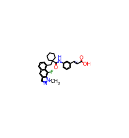 Cn1ncc2cc3cccc(CC4(C(=O)Nc5cccc(/C=C/C(=O)O)c5)CCCCC4)c3c(F)c21